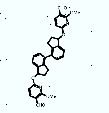 COc1nc(OC2CCc3c(-c4cccc5c4CCC5Oc4ccc(C=O)c(OC)n4)cccc32)ccc1C=O